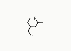 [CH2]CC(CC)CC(C)F